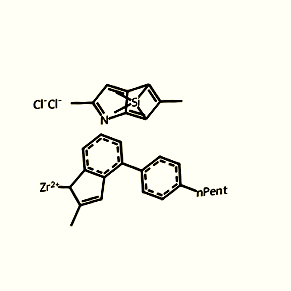 CC1=NC2=C3C(C)=C(C2=C1)[Si]3(C)C.CCCCCc1ccc(-c2cccc3c2C=C(C)[CH]3[Zr+2])cc1.[Cl-].[Cl-]